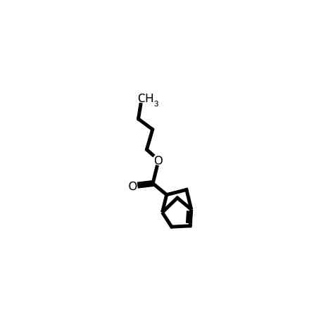 CCCCOC(=O)C1CC2=CCC1C2